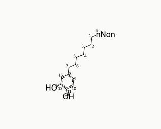 CCCCCCCCCCCCCCCCc1ccc(O)c(O)c1